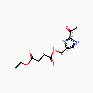 CCOC(=O)CCC(=O)OCc1c[nH]c(C(C)=O)n1